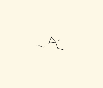 CCOC(=O)[C@]1(CO)C[C@H]1CC(C)(C)C